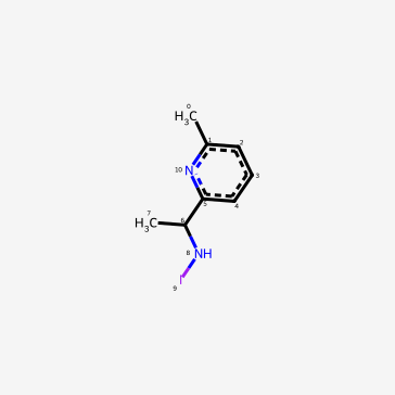 Cc1cccc(C(C)NI)n1